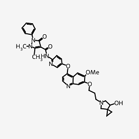 COc1cc2c(Oc3ccc(NC(=O)c4c(C)n(C)n(-c5ccccc5)c4=O)nc3)ccnc2cc1OCCCN1CC(O)C2(CC2)C1